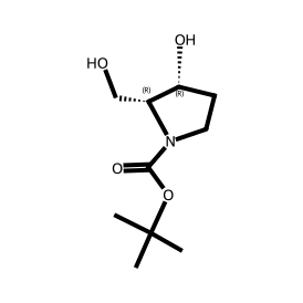 CC(C)(C)OC(=O)N1CC[C@@H](O)[C@H]1CO